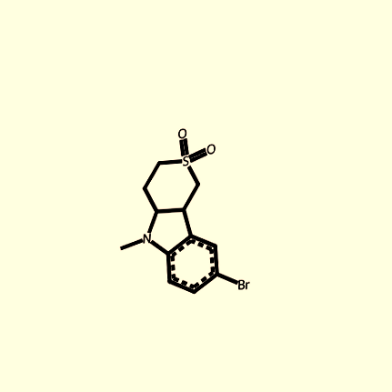 CN1c2ccc(Br)cc2C2CS(=O)(=O)CCC21